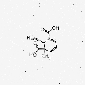 C#CC1C(C(=O)O)=CC=CC1(C)C(=O)O